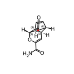 NC(=O)C1=C[C@H]2[C@@H]3C=C[C@H]2C(=O)O[C@@H]3O1